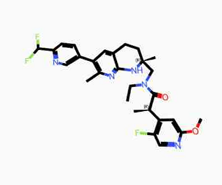 CCN(C[C@@]1(C)CCc2cc(-c3ccc(C(F)F)nc3)c(C)nc2N1)C(=O)[C@H](C)c1cc(OC)ncc1F